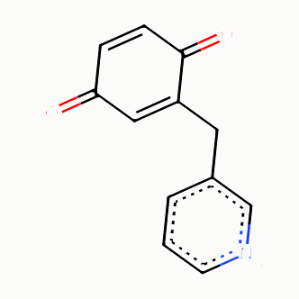 O=C1C=CC(=O)C(Cc2cccnc2)=C1